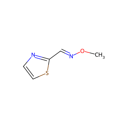 CON=Cc1nccs1